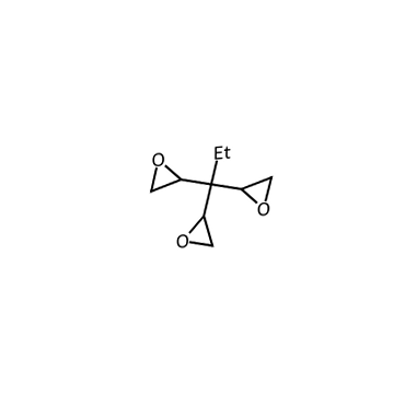 CCC(C1CO1)(C1CO1)C1CO1